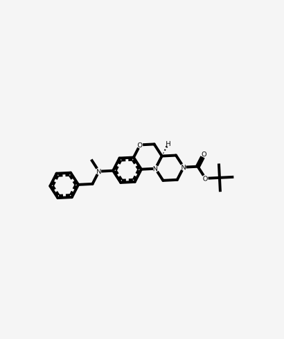 CN(Cc1ccccc1)c1ccc2c(c1)OC[C@H]1CN(C(=O)OC(C)(C)C)CCN21